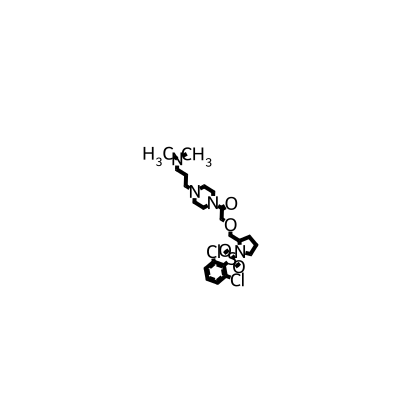 CN(C)CCCN1CCN(C(=O)COCC2CCCN2S(=O)(=O)c2c(Cl)cccc2Cl)CC1